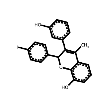 CC1=C(c2cccc(O)c2)C(c2ccc(I)cc2)Oc2c(O)cccc21